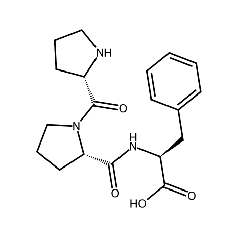 O=C(O)[C@H](Cc1ccccc1)NC(=O)[C@@H]1CCCN1C(=O)[C@@H]1CCCN1